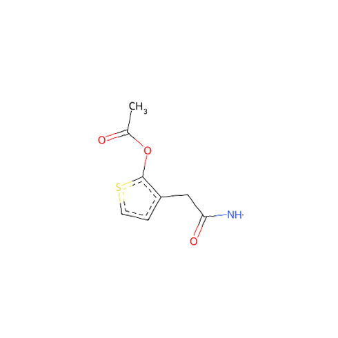 CC(=O)Oc1sccc1CC([NH])=O